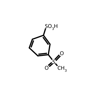 CS(=O)(=O)c1cccc(S(=O)(=O)O)c1